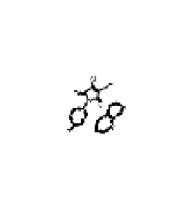 O=C1C(Cl)=C(Cl)C(=O)N1c1ccc(F)cc1.c1ccc2ncccc2c1